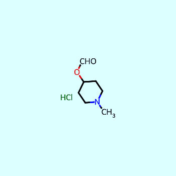 CN1CCC(OC=O)CC1.Cl